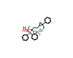 CC(C)(CCC1CC1(CBr)c1ccccc1)[Si](O)(c1ccccc1)c1ccccc1